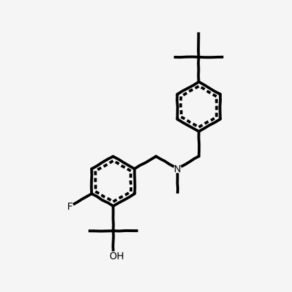 CN(Cc1ccc(C(C)(C)C)cc1)Cc1ccc(F)c(C(C)(C)O)c1